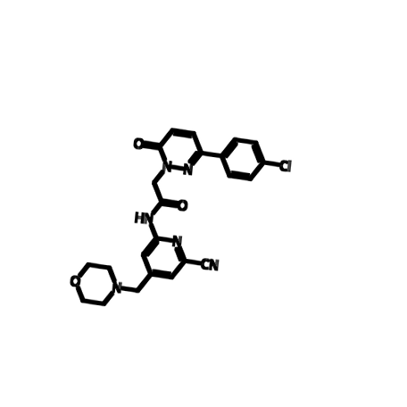 N#Cc1cc(CN2CCOCC2)cc(NC(=O)Cn2nc(-c3ccc(Cl)cc3)ccc2=O)n1